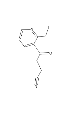 N#CCCC(=O)c1cccnc1CI